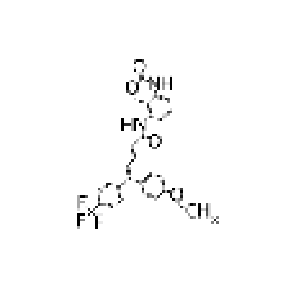 CCOc1ccc(C(=CC=CC(=O)Nc2cccc3c2COC(=O)N3)c2ccc(C(F)(F)F)cc2)cc1